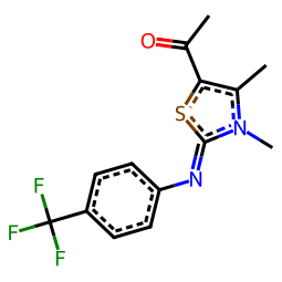 CC(=O)c1s/c(=N\c2ccc(C(F)(F)F)cc2)n(C)c1C